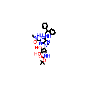 CCN(N)C(=O)c1nc(NCC(c2ccccc2)c2ccccc2)c2ncn([C@@H]3C[C@H](NC(=O)OC(C)(C)C)[C@@H](O)[C@H]3O)c2n1